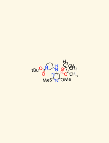 COc1nc(SC)nc(N[C@@H]2CCCN(C(=O)OC(C)(C)C)C2)c1B1OC(C)(C)C(C)(C)O1